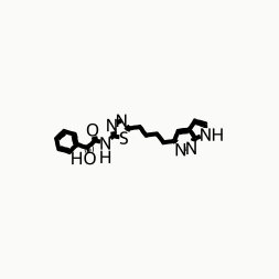 O=C(Nc1nnc(CCCCc2cc3cc[nH]c3nn2)s1)[C@@H](O)c1ccccc1